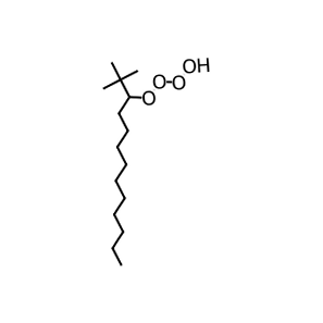 CCCCCCCCCCC(OOOO)C(C)(C)C